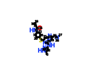 Cc1cc(Nc2nc(Sc3ccc(NC(=O)C4CC4)cc3)cc3nc(CN(C)C)cn23)n[nH]1